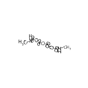 CCCCNOC(=O)c1ccc(OC(=O)C2CCC(C(=O)Oc3ccc(C(=O)ONCCCC)cc3)CC2)cc1